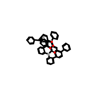 C1=Cc2cccc(-c3ccccc3N(c3ccccc3-c3ccc(-c4ccccc4)cc3)c3cccc4c3c3ccccc3n4-c3ccccc3)c2[C@@H]2C1=C2c1ccccc1